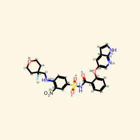 O=C(NS(=O)(=O)c1ccc(NCC2(F)CCOCC2)c([N+](=O)[O-])c1)c1ccccc1Oc1cnc2[nH]ccc2c1